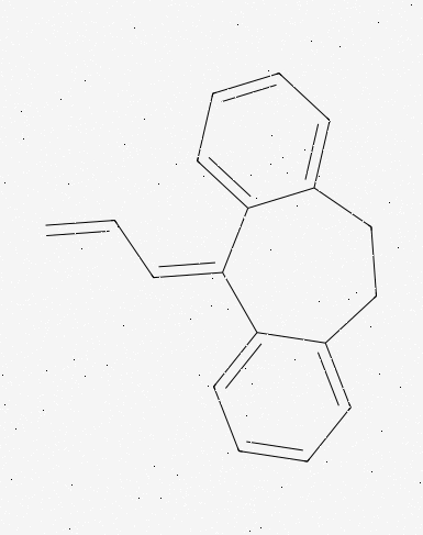 C=CC=C1c2ccccc2CCc2ccccc21